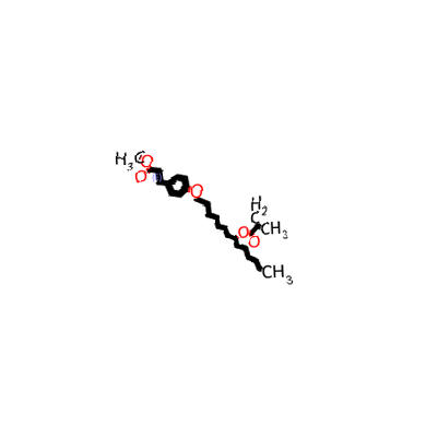 C=C(C)C(=O)OC(CCCCCC)CCCCCCCOc1ccc(/C=C/C(=O)OC)cc1